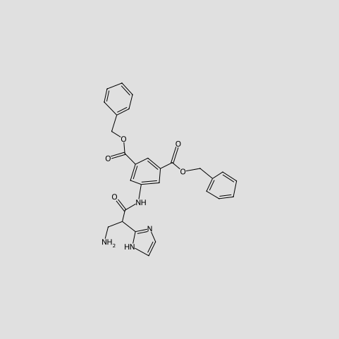 NCC(C(=O)Nc1cc(C(=O)OCc2ccccc2)cc(C(=O)OCc2ccccc2)c1)c1ncc[nH]1